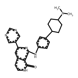 CN(C)C1CCC(c2ccc(Nc3nc(-c4cncnc4)cc4cc[nH]c(=O)c34)cc2)CC1